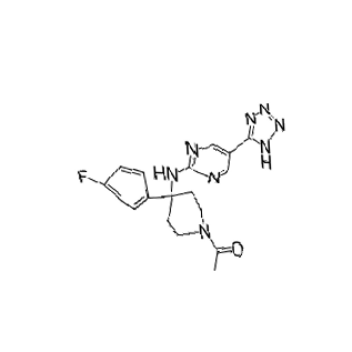 CC(=O)N1CCC(Nc2ncc(-c3nnn[nH]3)cn2)(c2ccc(F)cc2)CC1